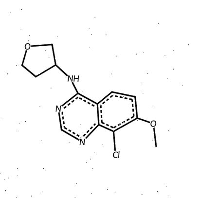 COc1ccc2c(NC3CCOC3)ncnc2c1Cl